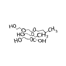 CCCCOCCOCCO.CCOCCO.OCCOCCO